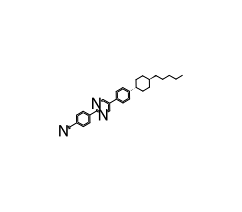 CCCCC[C@H]1CC[C@H](c2ccc(-c3cnc(-c4ccc(C#N)cc4)nc3)cc2)CC1